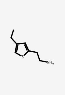 CCc1csc(CCN)c1